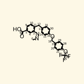 C/N=N\c1cc(C(=O)O)ccc1Cc1ccc(OCc2ccc(OC(F)(F)F)cc2)cc1